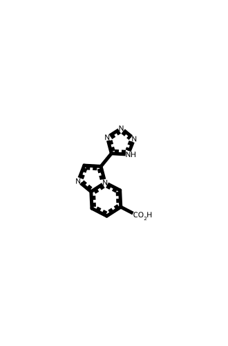 O=C(O)c1ccc2ncc(-c3nnn[nH]3)n2c1